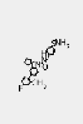 Cc1cc(F)ccc1-c1ccc2c(c1)C1(CCCC1)CN2C(=O)NCc1ccc(SN)cc1